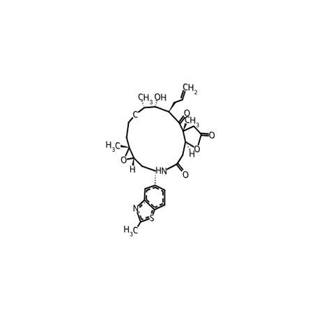 C=CC[C@H]1C(=O)[C@]2(C)CC(=O)O[C@H]2CC(=O)N[C@H](c2ccc3sc(C)nc3c2)C[C@@H]2O[C@]2(C)CCC[C@H](C)[C@@H]1O